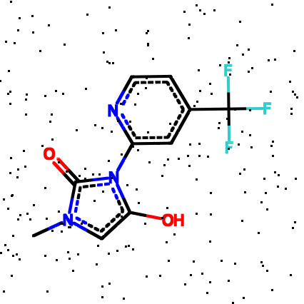 Cn1cc(O)n(-c2cc(C(F)(F)F)ccn2)c1=O